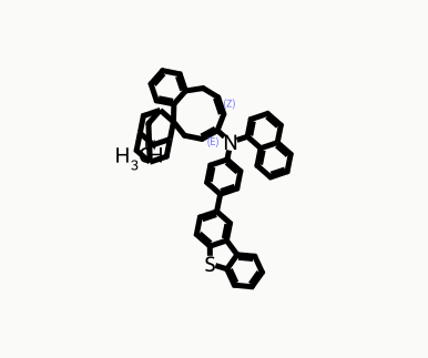 C[C@H]1C2CC3CC(C2)C2(C/C=C(N(c4ccc(-c5ccc6sc7ccccc7c6c5)cc4)c4cccc5ccccc45)\C=C/Cc4ccccc42)C1C3